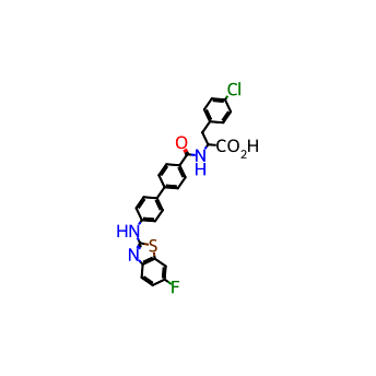 O=C(NC(Cc1ccc(Cl)cc1)C(=O)O)c1ccc(-c2ccc(Nc3nc4ccc(F)cc4s3)cc2)cc1